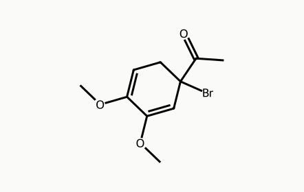 COC1=CCC(Br)(C(C)=O)C=C1OC